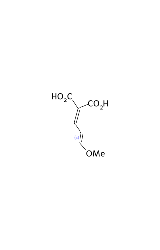 CO/C=C/C=C(C(=O)O)C(=O)O